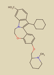 CN1CCCCC1COc1ccc2c(c1)OCCn1c-2c(C2CCCCC2)c2ccc(C(=O)O)cc21